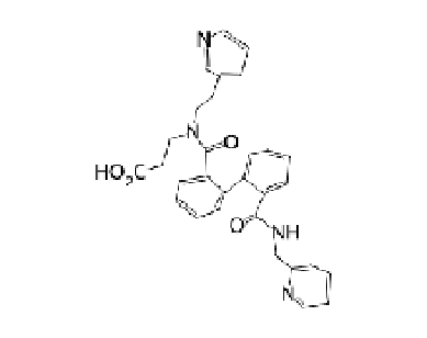 O=C(O)CCN(CCc1cccnc1)C(=O)c1ccccc1-c1ccccc1C(=O)NCc1ccccn1